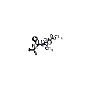 COC(=O)c1ccc2c(c1)C(C)(C)/C(=C\C=c1sc(=C(C#N)C#N)nc1-c1ccccc1)N2C